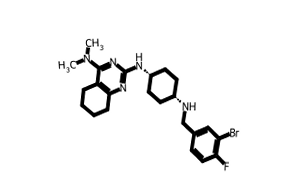 CN(C)c1nc(N[C@H]2CC[C@@H](NCc3ccc(F)c(Br)c3)CC2)nc2c1CCCC2